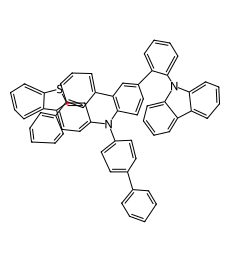 c1ccc(-c2ccc(N(c3ccc4c(c3)sc3ccccc34)c3ccc(-c4ccccc4-n4c5ccccc5c5ccccc54)cc3-c3cccc(-c4ccccc4)c3)cc2)cc1